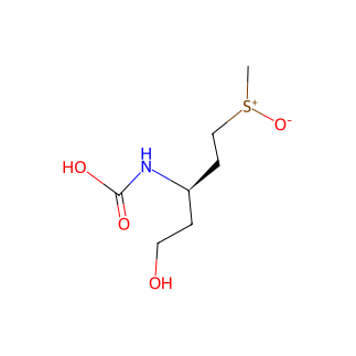 C[S+]([O-])CC[C@@H](CCO)NC(=O)O